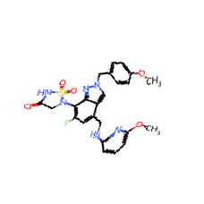 COc1ccc(Cn2cc3c(CNc4cccc(OC)n4)cc(F)c(N4CC(=O)NS4(=O)=O)c3n2)cc1